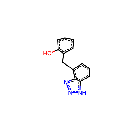 Oc1ccccc1Cc1cccc2[nH]nnc12